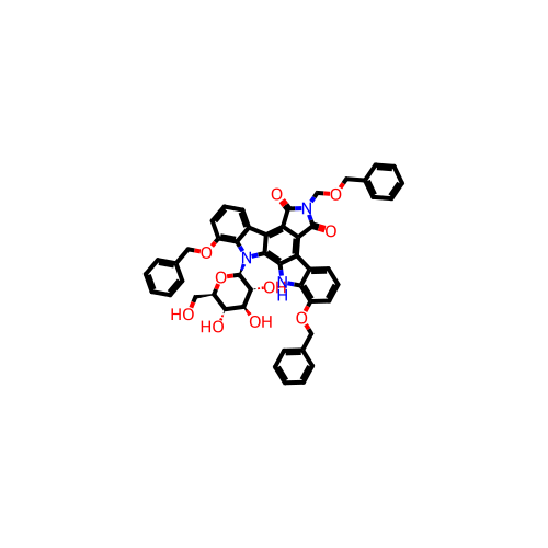 O=C1c2c(c3c4cccc(OCc5ccccc5)c4n([C@@H]4O[C@H](CO)[C@@H](O)[C@H](O)[C@H]4O)c3c3[nH]c4c(OCc5ccccc5)cccc4c23)C(=O)N1COCc1ccccc1